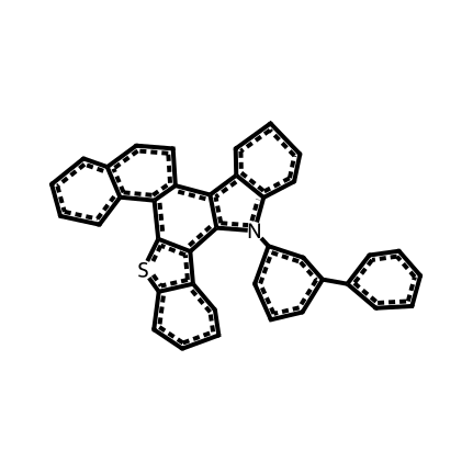 c1ccc(-c2cccc(-n3c4ccccc4c4c5ccc6ccccc6c5c5sc6ccccc6c5c43)c2)cc1